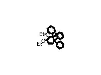 C=CC1(c2ccccc2)C(OCC)=C(OCC)C=CC1(c1ccccc1)c1ccccc1